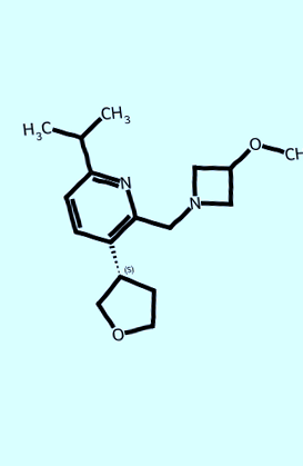 COC1CN(Cc2nc(C(C)C)ccc2[C@@H]2CCOC2)C1